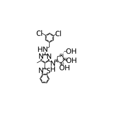 Cc1nc(NCc2cc(Cl)cc(Cl)c2)nc(N[C@@H]2C[C@H](CO)[C@@H](O)[C@H]2O)c1-c1nc2ccccc2s1